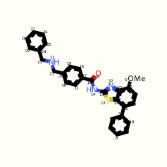 COc1ccc(-c2ccccc2)c2sc(NC(=O)c3ccc(CNCc4ccccc4)cc3)nc12